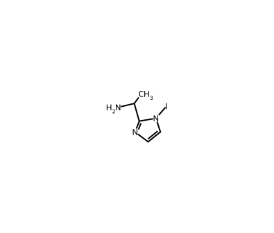 CC(N)c1nccn1I